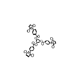 O=C(Oc1cc(OC(=O)c2ccc(N3C(=O)C=CC3=O)cc2)cc(OC(=O)c2ccc(N3C(=O)C=CC3=O)cc2)c1)c1ccc(N2C(=O)C=CC2=O)cc1